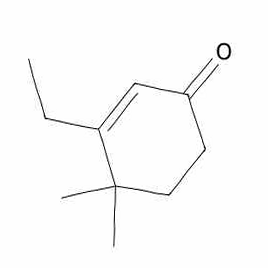 CCC1=CC(=O)CCC1(C)C